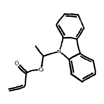 C=CC(=O)OC(C)n1c2ccccc2c2ccccc21